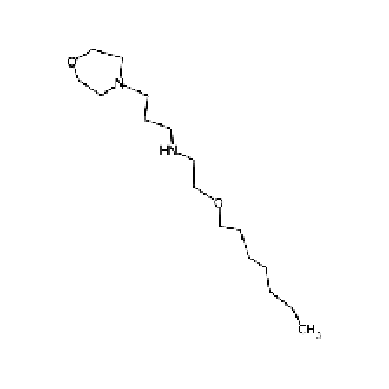 CCCCCCCOCCNCCCN1CCOCC1